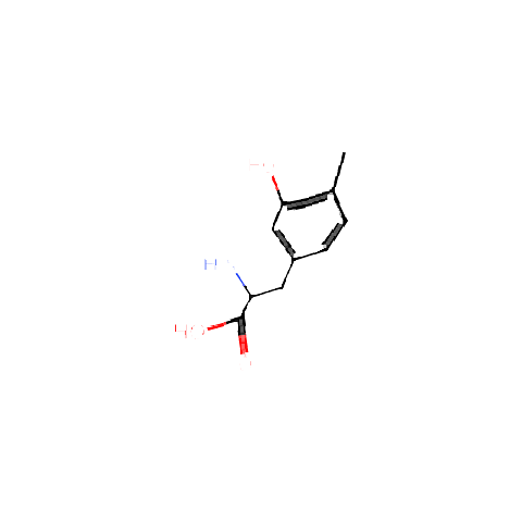 Cc1ccc(CC(N)C(=O)O)cc1O